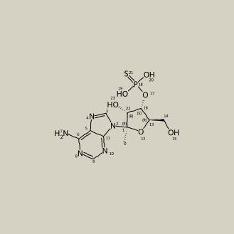 C[C@@]1(n2cnc3c(N)ncnc32)O[C@H](CO)[C@@H](OP(O)(O)=S)[C@H]1O